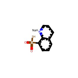 O=S(=O)(S)c1cccc2cccnc12.[NaH]